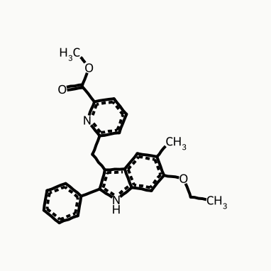 CCOc1cc2[nH]c(-c3ccccc3)c(Cc3cccc(C(=O)OC)n3)c2cc1C